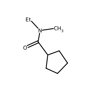 CCN(C)C(=O)C1CCCC1